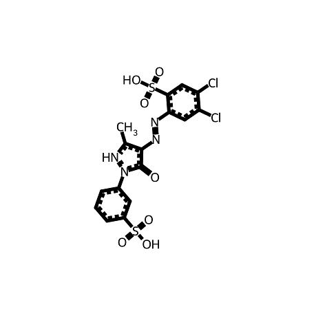 Cc1[nH]n(-c2cccc(S(=O)(=O)O)c2)c(=O)c1/N=N/c1cc(Cl)c(Cl)cc1S(=O)(=O)O